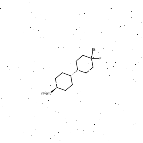 CCCCC[C@H]1CC[C@H](C2CCC(F)(CC)CC2)CC1